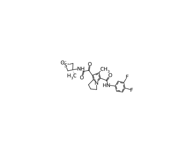 Cc1c(C(=O)C(=O)N[C@]2(C)C[S@@+]([O-])C2)c2n(c1C(=O)Nc1ccc(F)c(F)c1)CCC2